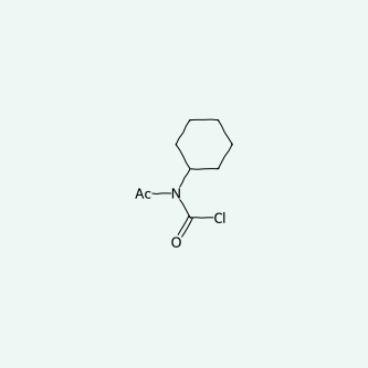 CC(=O)N(C(=O)Cl)C1CCCCC1